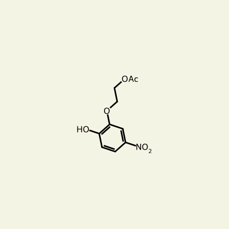 CC(=O)OCCOc1cc([N+](=O)[O-])ccc1O